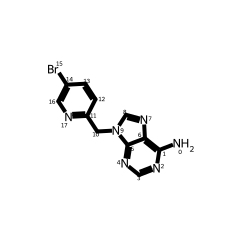 Nc1ncnc2c1ncn2Cc1ccc(Br)cn1